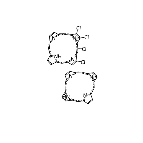 C1=Cc2cc3ccc(cc4nc(cc5ccc(cc1n2)[nH]5)C=C4)[nH]3.ClC1=Cc2cc3ccc(cc4nc(cc5[nH]c(c(Cl)c1n2)c(Cl)c5Cl)C=C4)[nH]3